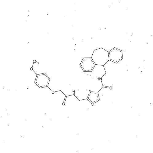 O=C(COc1ccc(OC(F)(F)F)cc1)NCc1nc(C(=O)NCC2c3ccccc3CCc3ccccc32)co1